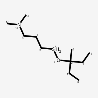 CCC(C)(CC)O[SiH2]CCCN(C)C